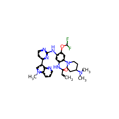 C=CC(=O)Nc1cc(Nc2nccc(-c3cn(C)c4cccnc34)n2)c(OC(F)F)cc1N1CCC(N(C)C)CC1